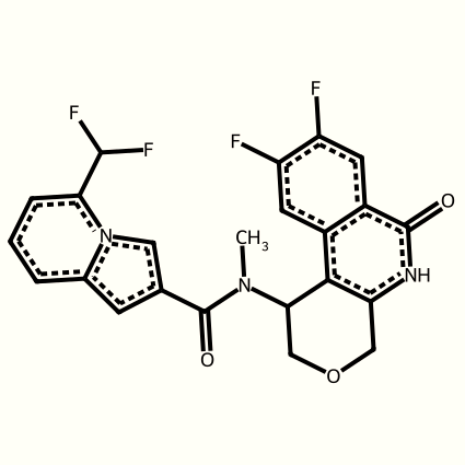 CN(C(=O)c1cc2cccc(C(F)F)n2c1)C1COCc2[nH]c(=O)c3cc(F)c(F)cc3c21